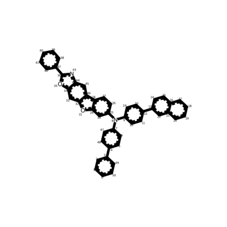 c1ccc(-c2ccc(N(c3ccc(-c4ccc5ccccc5c4)cc3)c3ccc4c(c3)oc3cc5oc(-c6ccccc6)nc5cc34)cc2)cc1